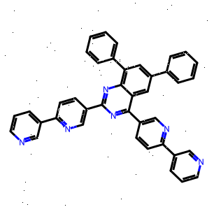 c1ccc(-c2cc(-c3ccccc3)c3nc(-c4ccc(-c5cccnc5)nc4)nc(-c4ccc(-c5cccnc5)nc4)c3c2)cc1